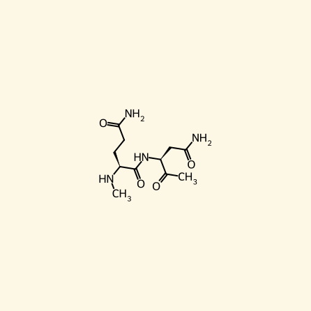 CN[C@@H](CCC(N)=O)C(=O)N[C@@H](CC(N)=O)C(C)=O